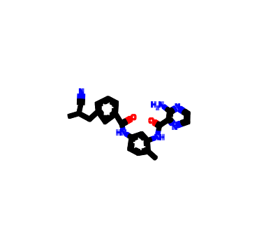 Cc1ccc(NC(=O)c2cccc(CC(C)C#N)c2)cc1NC(=O)c1nccnc1N